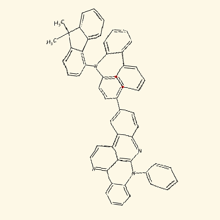 CC1(C)c2ccccc2-c2c(N(c3ccc(-c4ccc5nc6c7c(nccc7c5c4)-c4ccccc4N6c4ccccc4)cc3)c3ccccc3-c3ccccc3)cccc21